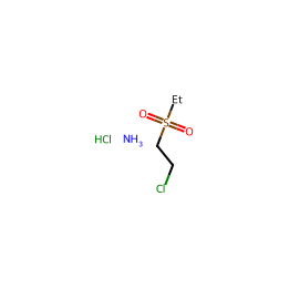 CCS(=O)(=O)CCCl.Cl.N